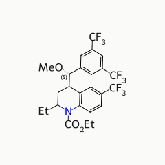 CCOC(=O)N1c2ccc(C(F)(F)F)cc2C([C@H](OC)c2cc(C(F)(F)F)cc(C(F)(F)F)c2)CC1CC